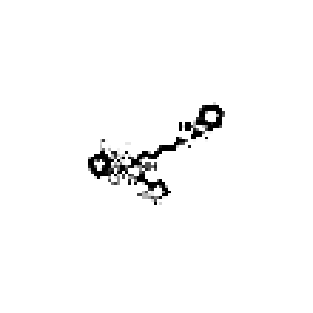 O=C(NC(CCCCCNc1nc2ccccc2[nH]1)(NS(=O)(=O)c1c(Cl)cccc1Cl)C(=O)O)C1CCON1